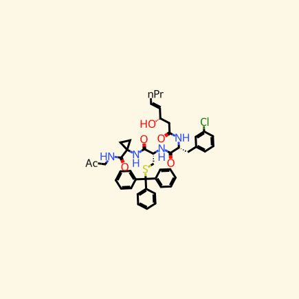 CCC/C=C/[C@@H](O)CC(=O)N[C@H](Cc1cccc(Cl)c1)C(=O)N[C@H](CSC(c1ccccc1)(c1ccccc1)c1ccccc1)C(=O)NC1(C(=O)NCC(C)=O)CC1